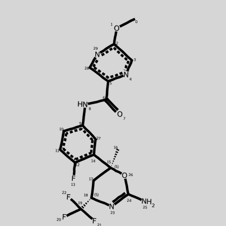 COc1cnc(C(=O)Nc2ccc(F)c([C@]3(C)C[C@@H](C(F)(F)F)N=C(N)O3)c2)cn1